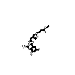 CCOC(=O)CCCn1cc(Cc2nc3c4cc(F)cc(OC)c4nc(N)n3n2)cn1